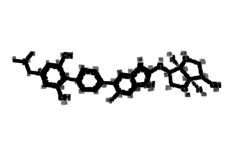 CN(C)Cc1cc(O)c(-c2ccc(-c3cc4nc(O[C@@H]5CO[C@H]6[C@@H]5OC[C@H]6O)[nH]c4cc3F)cc2)c(O)c1